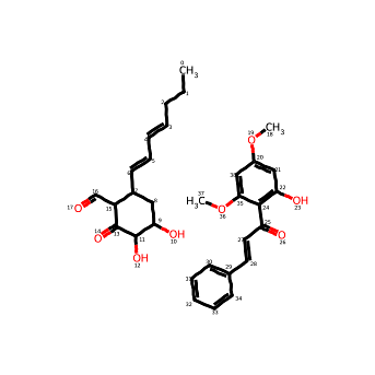 CCCC=CC=CC1CC(O)C(O)C(=O)C1C=O.COc1cc(O)c(C(=O)C=Cc2ccccc2)c(OC)c1